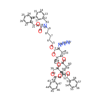 CCC1O[C@H](OCCCCCN(Cc2ccccc2)C(=O)OCc2ccccc2)C(N=[N+]=[N-])[C@@H](C)[C@@H]1O[C@@H]1OC2COC(c3ccccc3)O[C@H]2[C@@H](OCc2ccccc2)C1C